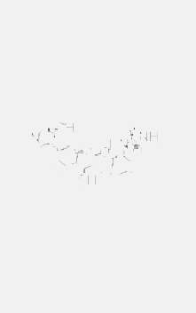 Cc1c(Cc2cccc(NS(N)(=O)=O)c2)c(=O)oc2cc(-c3cncn3C)ccc12